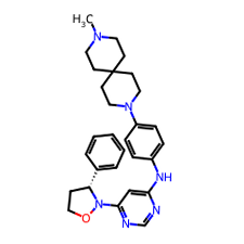 CN1CCC2(CC1)CCN(c1ccc(Nc3cc(N4OCC[C@@H]4c4ccccc4)ncn3)cc1)CC2